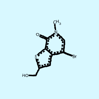 Cn1cc(Br)c2cc(CO)sc2c1=O